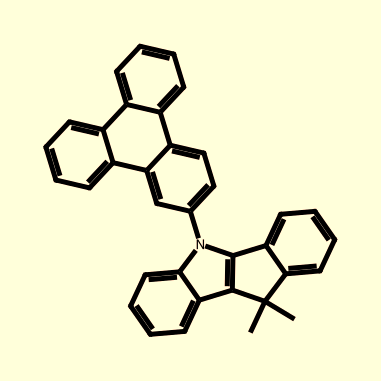 CC1(C)c2ccccc2-c2c1c1ccccc1n2-c1ccc2c3ccccc3c3ccccc3c2c1